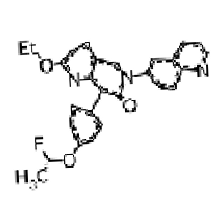 CCOc1ccc2cn(-c3ccc4ncccc4c3)c(=O)c(-c3ccc(O[C@H](C)F)cc3)c2n1